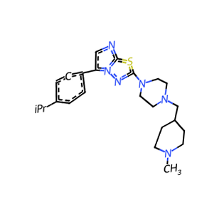 CC(C)c1ccc(-c2cnc3sc(N4CCN(CC5CCN(C)CC5)CC4)nn23)cc1